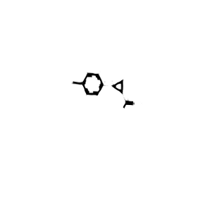 Cc1ccc([C@@H]2C[C@H]2C(=O)O)cc1